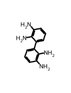 Nc1cccc(-c2cccc(N)c2N)c1N